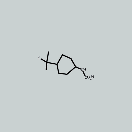 CC(C)(F)C1CCC(NC(=O)O)CC1